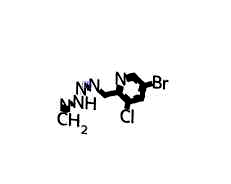 C=NN/N=N\Cc1ncc(Br)cc1Cl